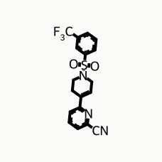 N#Cc1cccc(C2=CCN(S(=O)(=O)c3cccc(C(F)(F)F)c3)CC2)n1